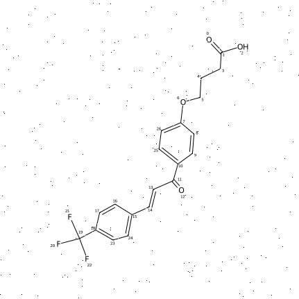 O=C(O)CCCOc1ccc(C(=O)/C=C/c2ccc(C(F)(F)F)cc2)cc1